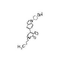 CCCCn1ccc(-c2ccc3c(ccn3[C@H]3CC[C@@H](O)CC3)c2)c(Cl)c1=O